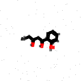 CC(=O)CC(=O)CC(=O)c1ccccc1O